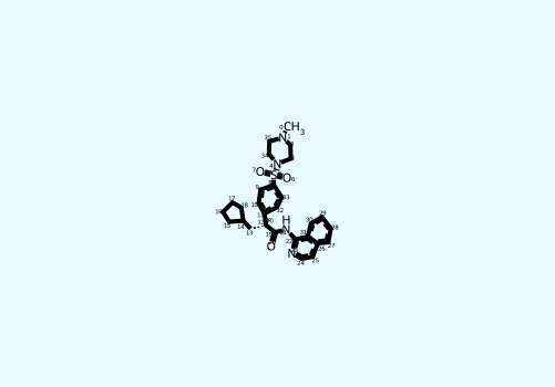 CN1CCN(S(=O)(=O)c2ccc([C@@H](CC3CCCC3)C(=O)Nc3nccc4ccccc34)cc2)CC1